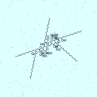 CCCCCCCCCCCCCC(=O)OC(CCCCCCCCCCC)CC(=O)OC1C(NC(=O)CC(O)CCCCCCCCCCC)C(OCC2OC(OP(=O)(O)O)C(NC(=O)CC(O)CCCCCCCCCCC)C(OC(=O)CC(O)CCCCCCCCCCC)C2O)OC(CO)C1OP(=O)(O)O